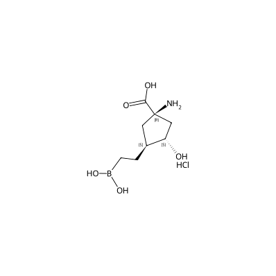 Cl.N[C@]1(C(=O)O)C[C@H](CCB(O)O)[C@@H](O)C1